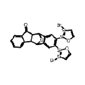 O=C1c2ccccc2C2C3OC(c4cc(-[si]5occ[si]5Br)c(-[si]5occ[si]5Br)cc43)C12